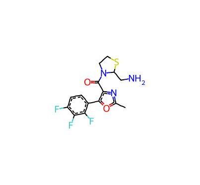 Cc1nc(C(=O)N2CCSC2CN)c(-c2ccc(F)c(F)c2F)o1